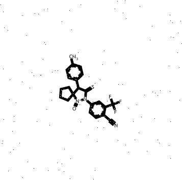 Cc1ccc(C2C(=S)N(c3ccc(C#N)c(C(F)(F)F)c3)[N+](=O)C23CCCC3)cc1